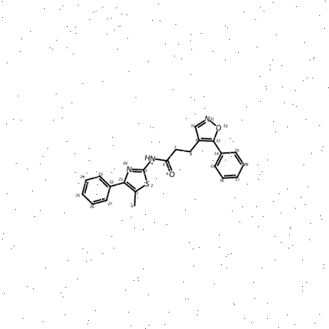 Cc1sc(NC(=O)CCc2cnoc2-c2ccccc2)nc1-c1ccccc1